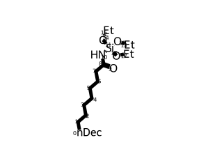 CCCCCCCCCCCCCCCCCC(=O)N[Si](OCC)(OCC)OCC